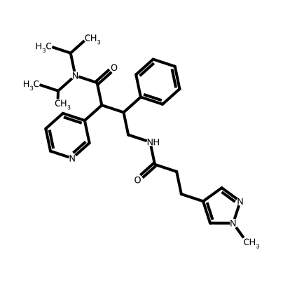 CC(C)N(C(=O)C(c1cccnc1)C(CNC(=O)CCc1cnn(C)c1)c1ccccc1)C(C)C